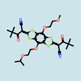 COCCOc1c2c(c(OCCOC(C)C)c3c1S/C(=C(/C#N)C(=O)C(C)(C)C)S3)S/C(=C(/C#N)C(=O)C(C)(C)C)S2